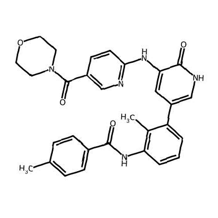 Cc1ccc(C(=O)Nc2cccc(-c3c[nH]c(=O)c(Nc4ccc(C(=O)N5CCOCC5)cn4)c3)c2C)cc1